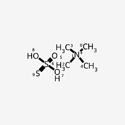 C[N+](C)(C)C.O=S(O)(O)=S